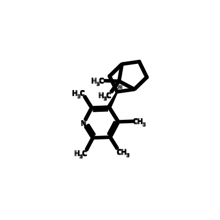 Cc1nc(C)c([C@H]2CC3CCC2C3(C)C)c(C)c1C